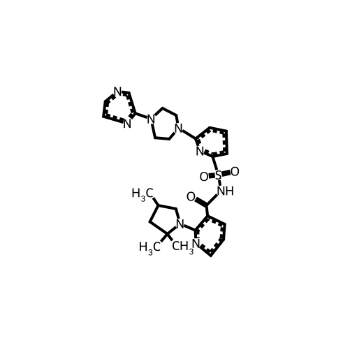 CC1CN(c2ncccc2C(=O)NS(=O)(=O)c2cccc(N3CCN(c4cnccn4)CC3)n2)C(C)(C)C1